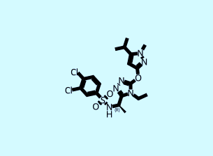 CCn1c(Oc2cc(C(C)C)n(C)n2)nnc1[C@@H](C)NS(=O)(=O)c1ccc(Cl)c(Cl)c1